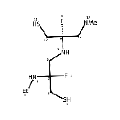 CCNC(F)(CS)CN[C@@](F)(CS)CNC